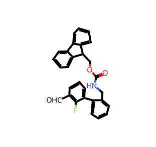 O=Cc1cccc(-c2ccccc2CNC(=O)OCC2c3ccccc3-c3ccccc32)c1F